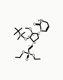 CCOP(=O)(/C=C/[C@H]1C[C@@H](N2C=CCNC2=O)[C@H](OC)[C@@H]1O[Si](C)(C)C(C)(C)C)OCC